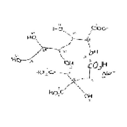 O=C(O)CC(O)(CC(=O)O)C(=O)O.O=C([O-])C(O)C(O)C(O)C(O)CO.[Na+]